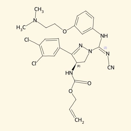 C=CCOC(=O)N[C@@H]1CN(/C(=N\C#N)Nc2cccc(OCCN(C)C)c2)N=C1c1ccc(Cl)c(Cl)c1